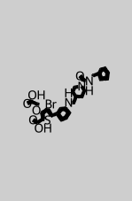 O=C(O)COc1c(C(=O)O)sc(-c2cccc(NCC3CCN(C(=O)NCc4ccccc4)CC3)c2)c1Br